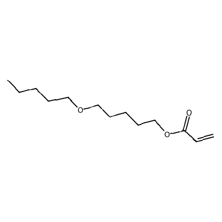 C=CC(=O)OCCCCCOCCCCC